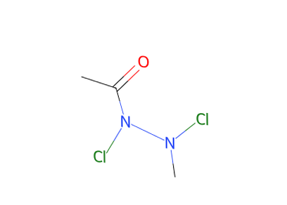 CC(=O)N(Cl)N(C)Cl